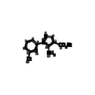 CCOC(=O)c1cnn(-c2cccc(CC)n2)c1N